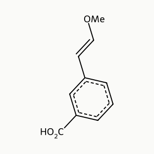 COC=Cc1cccc(C(=O)O)c1